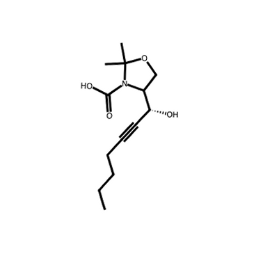 CCCCC#C[C@@H](O)C1COC(C)(C)N1C(=O)O